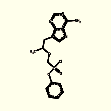 CC(Cn1cnc2c(N)ncnc21)OCP(=O)(Cl)Oc1ccccc1